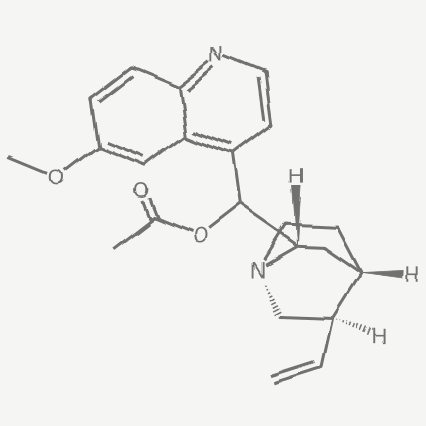 C=C[C@H]1C[N@]2CC[C@H]1C[C@H]2C(OC(C)=O)c1ccnc2ccc(OC)cc12